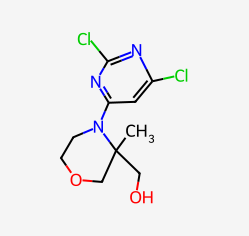 CC1(CO)COCCN1c1cc(Cl)nc(Cl)n1